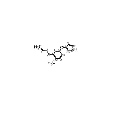 C=CCSc1cc(Oc2cc[nH]n2)ccc1C